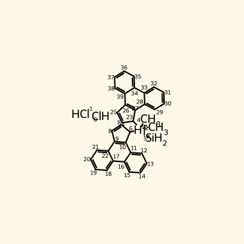 Cl.Cl.[CH3][Hf]([CH3])(=[SiH2])([CH]1C=Cc2c1c1ccccc1c1ccccc21)[CH]1C=Cc2c1c1ccccc1c1ccccc21